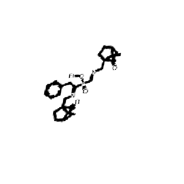 CCOP(=O)(C=NCC12CCC(CC1=O)C2(C)C)C(Cc1ccccc1)=NCC12CCC(CC1=O)C2(C)C